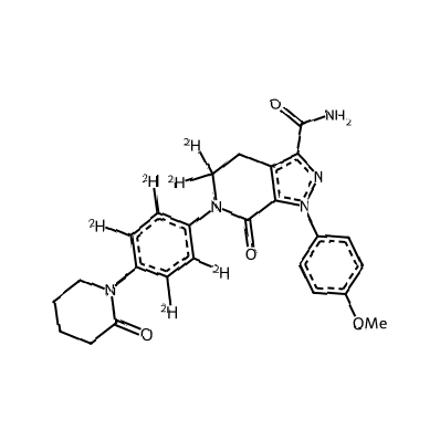 [2H]c1c([2H])c(N2C(=O)c3c(c(C(N)=O)nn3-c3ccc(OC)cc3)CC2([2H])[2H])c([2H])c([2H])c1N1CCCCC1=O